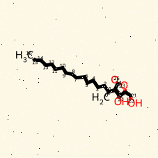 C=C(CCCCCCCCCCCCCCC)C1=C(O)C(CO)OC1=O